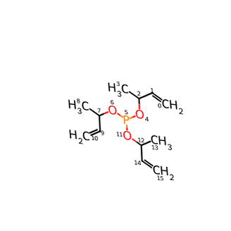 C=CC(C)OP(OC(C)C=C)OC(C)C=C